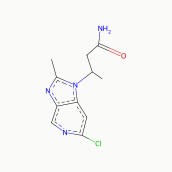 Cc1nc2cnc(Cl)cc2n1C(C)CC(N)=O